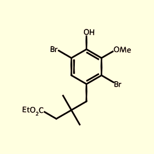 CCOC(=O)CC(C)(C)Cc1cc(Br)c(O)c(OC)c1Br